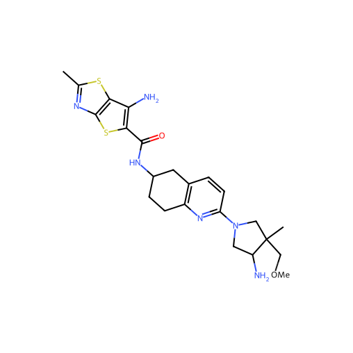 COCC1(C)CN(c2ccc3c(n2)CCC(NC(=O)c2sc4nc(C)sc4c2N)C3)CC1N